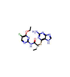 CCOc1nc(NC(=O)[C@@H](CC)Sc2nc(N)nc3nc[nH]c23)ncc1F